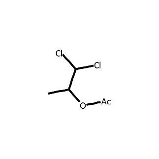 CC(=O)OC(C)C(Cl)Cl